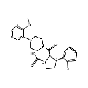 COc1ncncc1N1CCN(C(=O)N2[C@@H](c3ccccc3Cl)CC[C@H]2C(=O)O)CC1